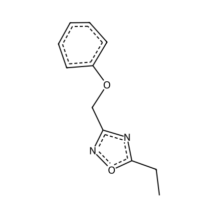 CCc1nc(COc2ccccc2)no1